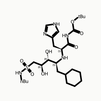 CCCCNS(=O)(=O)C[C@H](O)[C@H](O)[C@H](CC1CCCCC1)N[C@@H](Cc1c[nH]cn1)C(=O)NC(=O)OC(C)(C)C